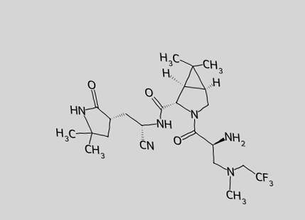 CN(C[C@H](N)C(=O)N1C[C@H]2[C@@H]([C@H]1C(=O)N[C@H](C#N)C[C@@H]1CC(C)(C)NC1=O)C2(C)C)CC(F)(F)F